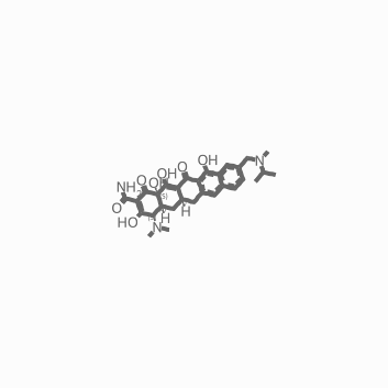 CC(C)N(C)Cc1ccc2cc3c(c(O)c2c1)C(=O)C1=C(O)[C@]2(O)C(=O)C(C(N)=O)=C(O)[C@@H](N(C)C)[C@@H]2C[C@@H]1C3